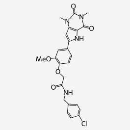 COc1cc(-c2cc3c([nH]2)c(=O)n(C)c(=O)n3C)ccc1OCC(=O)NCc1ccc(Cl)cc1